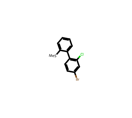 CSc1ccccc1-c1ccc(Br)cc1Cl